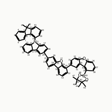 CC1(C)c2ccccc2-c2c(-n3c4ccccc4c4cc(-c5ccc6c(c5)oc5c(-c7ccc8oc9cccc(B%10OC(C)(C)C(C)(C)O%10)c9c8c7)cccc56)ccc43)cccc21